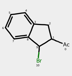 CC(=O)C1Cc2ccccc2C1Br